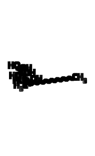 CCCCCCCCCCCCCCC(O)CN(C)C[C@H](O)[C@@H](O)[C@H](O)[C@H](O)CO